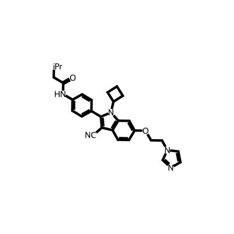 CC(C)CC(=O)Nc1ccc(-c2c(C#N)c3ccc(OCCn4ccnc4)cc3n2C2CCC2)cc1